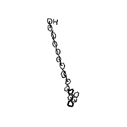 COC(OC)(C(=O)c1ccc(OCCOCCOCCOCCOCCOCCOCCOCCOCCO)cc1)c1ccccc1